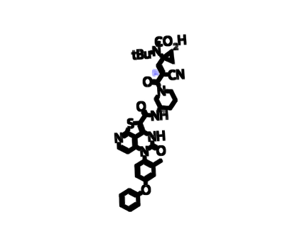 Cc1cc(Oc2ccccc2)ccc1N1C(=O)Nc2c(C(=O)N[C@@H]3CCCN(C(=O)/C(C#N)=C/C4(N(C(=O)O)C(C)(C)C)CC4)C3)sc3nccc1c23